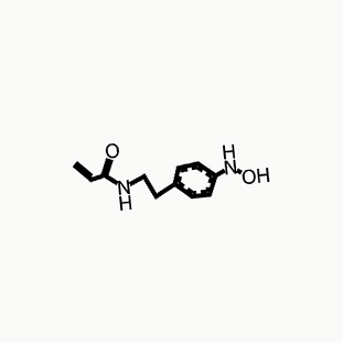 C=CC(=O)NCCc1ccc(NO)cc1